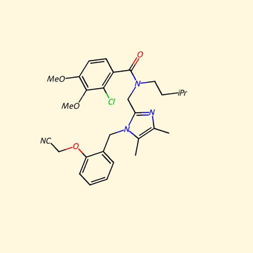 COc1ccc(C(=O)N(CCC(C)C)Cc2nc(C)c(C)n2Cc2ccccc2OCC#N)c(Cl)c1OC